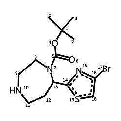 CC(C)(C)OC(=O)N1CCNCCC1c1nc(Br)cs1